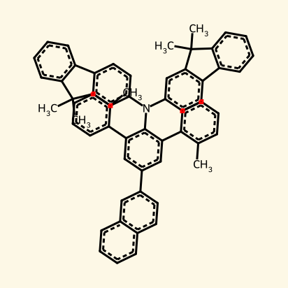 Cc1ccccc1-c1cc(-c2ccc3ccccc3c2)cc(-c2ccccc2C)c1N(c1ccc2c(c1)C(C)(C)c1ccccc1-2)c1ccc2c(c1)C(C)(C)c1ccccc1-2